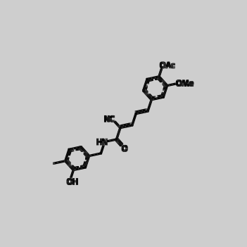 COc1cc(/C=C/C=C(\C#N)C(=O)NCc2ccc(C)c(O)c2)ccc1OC(C)=O